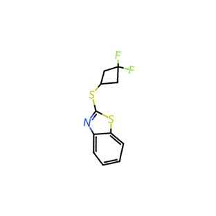 FC1(F)CC(Sc2nc3ccccc3s2)C1